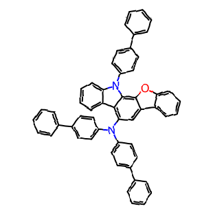 c1ccc(-c2ccc(N(c3ccc(-c4ccccc4)cc3)c3cc4c5ccccc5oc4c4c3c3ccccc3n4-c3ccc(-c4ccccc4)cc3)cc2)cc1